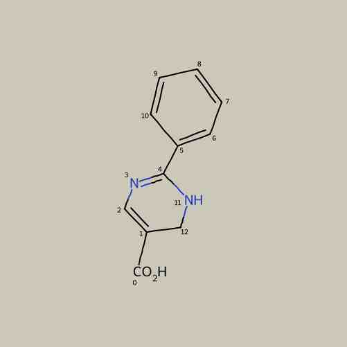 O=C(O)C1=CN=C(c2ccccc2)NC1